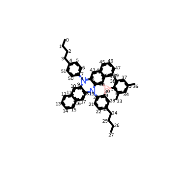 CCCCc1ccc(N2c3cc4ccccc4cc3N3c4ccc(CCCC)cc4B(c4c(C)cc(C)cc4C)c4c3c2cc2ccccc42)cc1